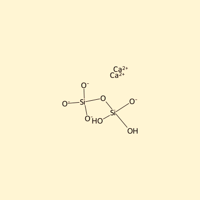 [Ca+2].[Ca+2].[O-][Si]([O-])([O-])O[Si]([O-])(O)O